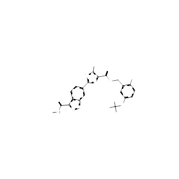 CNC(=O)c1n[nH]c2cc(-c3nc(C)c(C(=O)NCc4cc(OC(F)(F)F)ccc4F)s3)ccc12